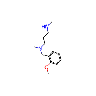 CNCCCN(C)Cc1ccccc1OC